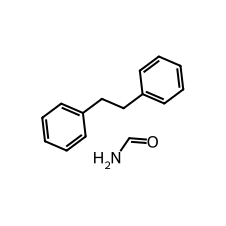 NC=O.c1ccc(CCc2ccccc2)cc1